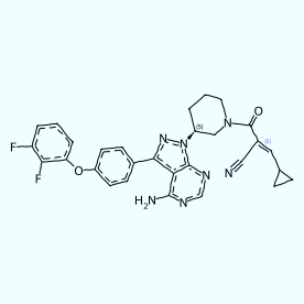 N#C/C(=C\C1CC1)C(=O)N1CCC[C@H](n2nc(-c3ccc(Oc4cccc(F)c4F)cc3)c3c(N)ncnc32)C1